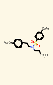 CCOC(=O)CCN(CCc1ccc(OC)cc1)S(=O)(=O)c1ccc(OC)cc1